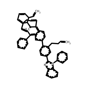 C=CCCc1cc(-c2nc3ccccc3n2-c2ccccc2)ccc1-c1ccc2/c(c1)=C(c1ccccc1)\C=C\CC/C=C/C=2C(=C)C1C=CC=CC1C=C